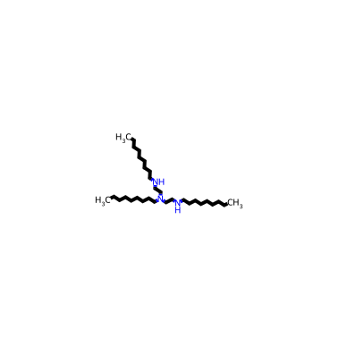 CCCCCCCCCNCCN(CCCCCCCCC)CCNCCCCCCCCC